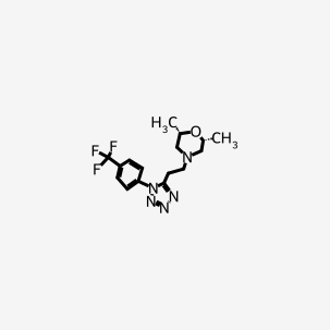 C[C@@H]1CN(CCc2nnnn2-c2ccc(C(F)(F)F)cc2)C[C@H](C)O1